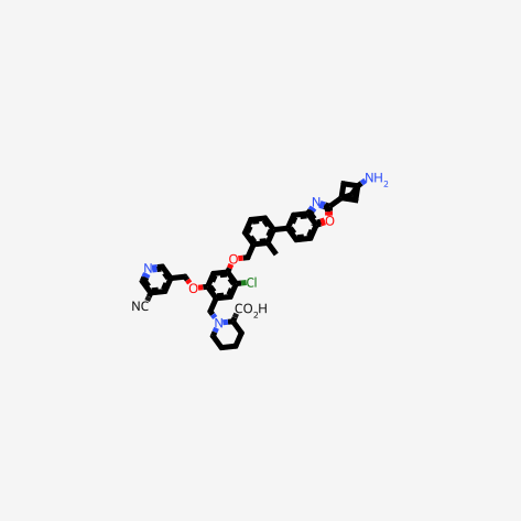 Cc1c(COc2cc(OCc3cncc(C#N)c3)c(CN3CCCCC3C(=O)O)cc2Cl)cccc1-c1ccc2oc(C34CC(N)(C3)C4)nc2c1